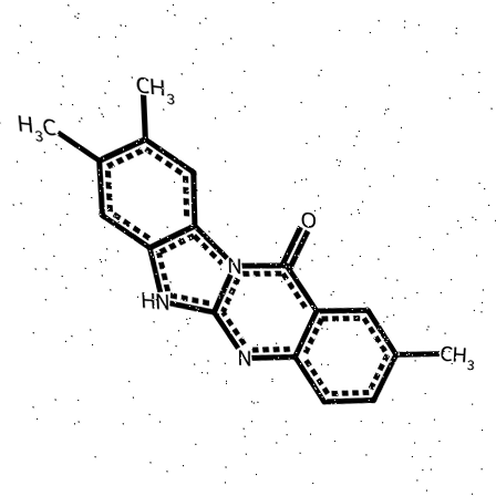 Cc1ccc2nc3[nH]c4cc(C)c(C)cc4n3c(=O)c2c1